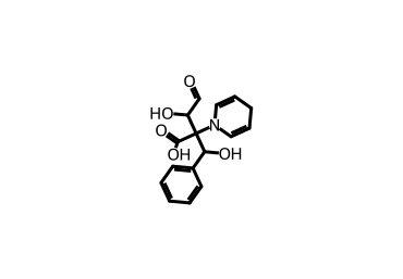 O=CC(O)C(C(=O)O)(C(O)c1ccccc1)N1C=CCC=C1